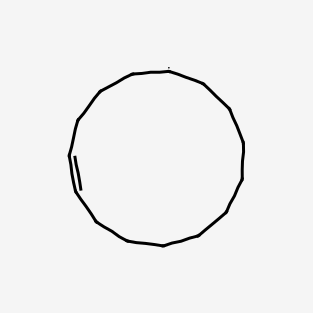 [CH]1CCCC=CCCCCCCCCC1